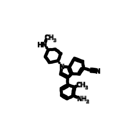 CN[C@H]1CC[C@H](n2cc(-c3cccc(N)c3C)c3cc(C#N)ccc32)CC1